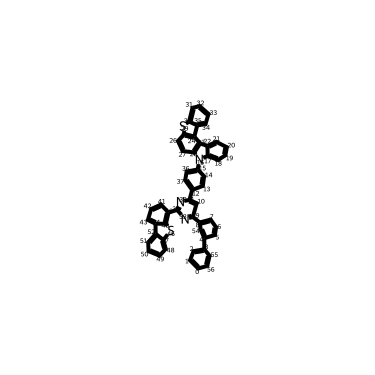 c1ccc(-c2cccc(-c3cc(-c4ccc(-n5c6ccccc6c6c7c(ccc65)sc5ccccc57)cc4)nc(-c4cccc5c4sc4ccccc45)n3)c2)cc1